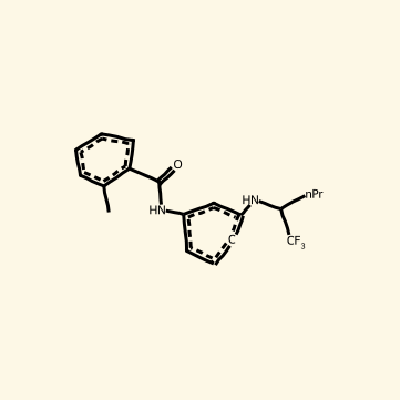 CCCC(Nc1cccc(NC(=O)c2ccccc2C)c1)C(F)(F)F